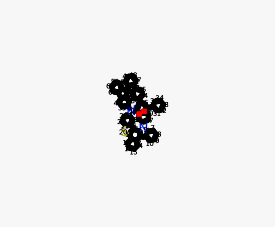 C1=CCCC(n2c3ccccc3c3c4ccccc4c4sc5ccc(N(c6ccc(-c7ccccc7)cc6)c6ccc7c(c6)C(c6ccccc6)(c6ccccc6)c6ccccc6-7)cc5c4c32)=C1